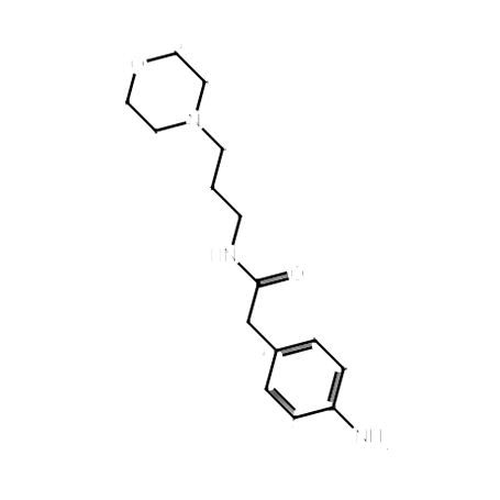 Nc1ccc(CC(=O)NCCCN2CCOCC2)cc1